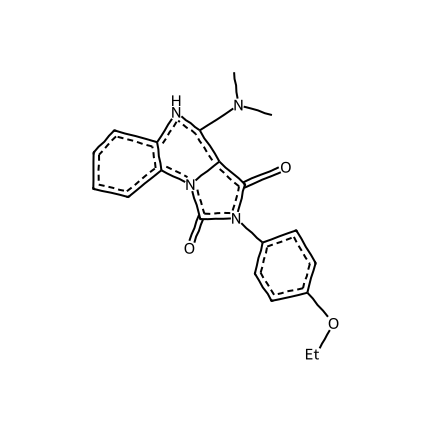 CCOc1ccc(-n2c(=O)c3c(N(C)C)[nH]c4ccccc4n-3c2=O)cc1